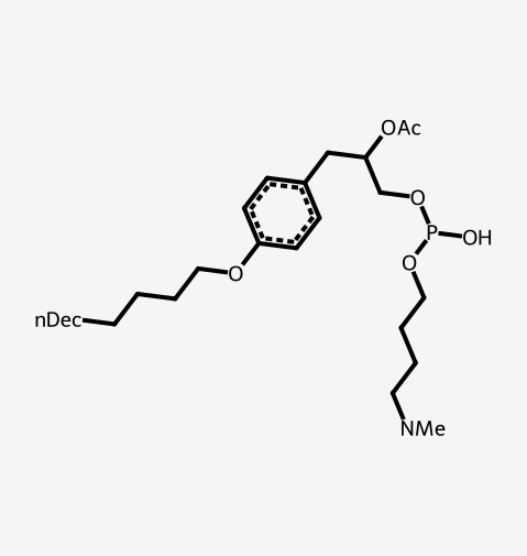 CCCCCCCCCCCCCCOc1ccc(CC(COP(O)OCCCCNC)OC(C)=O)cc1